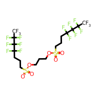 O=S(=O)(CCCC(F)(F)C(F)(F)C(F)(F)C(F)(F)F)OCCCOS(=O)(=O)CCCC(F)(F)C(F)(F)C(F)(F)C(F)(F)F